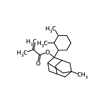 C=C(C)C(=O)OC1(C2CCCC(C)C2C)C2CC3CC1CC(C)(C3)C2